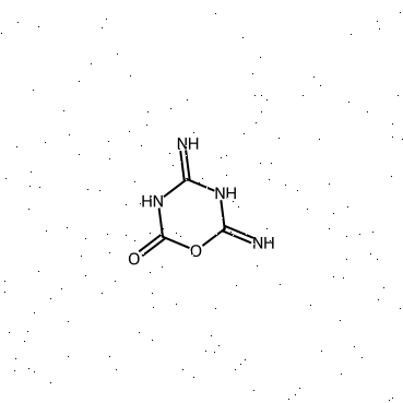 N=c1[nH]c(=N)oc(=O)[nH]1